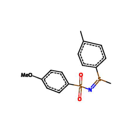 COc1ccc(S(=O)(=O)N=S(C)c2ccc(C)cc2)cc1